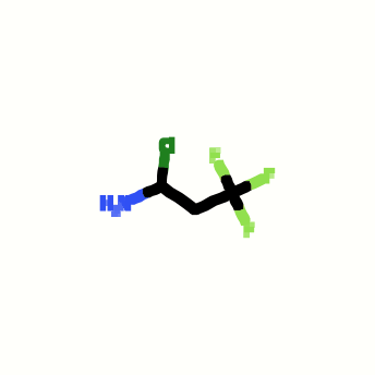 NC(Cl)CC(F)(F)F